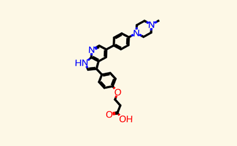 CN1CCN(c2ccc(-c3cnc4[nH]cc(-c5ccc(OCCC(=O)O)cc5)c4c3)cc2)CC1